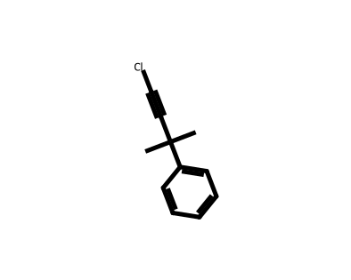 CC(C)(C#CCl)c1ccccc1